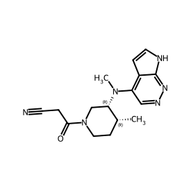 C[C@@H]1CCN(C(=O)CC#N)C[C@@H]1N(C)c1cnnc2[nH]ccc12